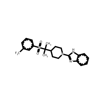 CC(C)(C1CCN(C2=[N+]c3ccccc3N2)CC1)S(=O)(=O)c1cccc(C(F)(F)F)c1